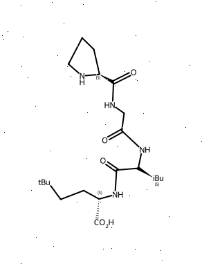 CC[C@H](C)C(NC(=O)CNC(=O)[C@@H]1CCCN1)C(=O)N[C@@H](CCC(C)(C)C)C(=O)O